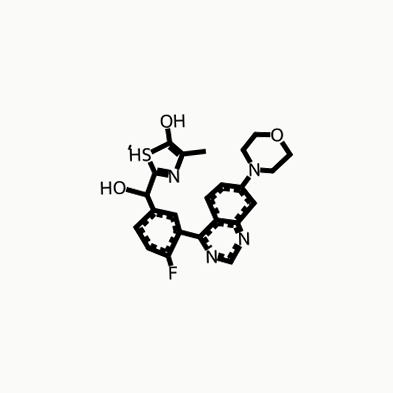 CC1=C(O)[SH](C)C(C(O)c2ccc(F)c(-c3ncnc4cc(N5CCOCC5)ccc34)c2)=N1